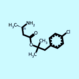 C[C@H](N)CC(=O)OC(C)(C)Cc1ccc(Cl)cc1